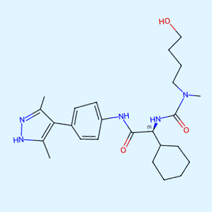 Cc1n[nH]c(C)c1-c1ccc(NC(=O)[C@@H](NC(=O)N(C)CCCCO)C2CCCCC2)cc1